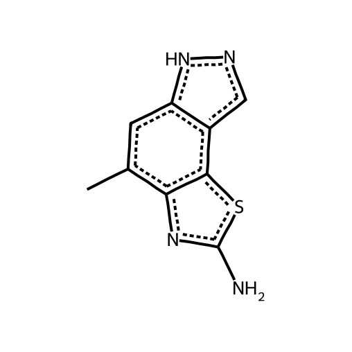 Cc1cc2[nH]ncc2c2sc(N)nc12